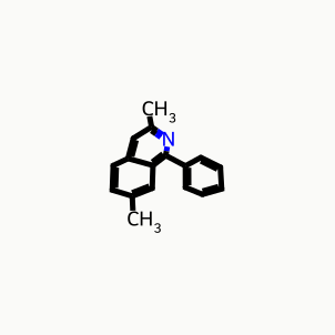 Cc1ccc2cc(C)nc(-c3ccccc3)c2c1